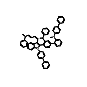 CC(/C=C/C=C\c1c(-c2ccc(-c3ccccc3N(C)c3ccc(-c4ccccc4)cc3)cc2C(C)c2ccccc2)n(-c2ccc(-c3ccccc3)cc2)c2ccccc12)c1ccccc1